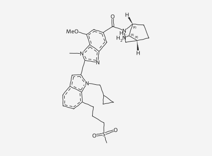 COc1cc(C(=O)N2C[C@H]3CC[C@@H]2[C@@H]3N)cc2nc(-c3cc4cccc(CCCS(C)(=O)=O)c4n3CC3CC3)n(C)c12